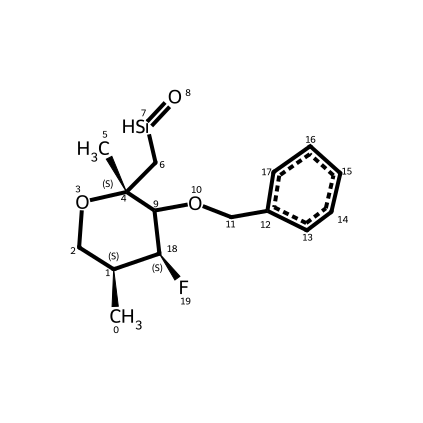 C[C@H]1CO[C@](C)(C[SiH]=O)C(OCc2ccccc2)[C@H]1F